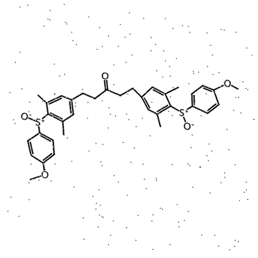 COc1ccc([S+]([O-])c2c(C)cc(CCC(=O)CCc3cc(C)c([S+]([O-])c4ccc(OC)cc4)c(C)c3)cc2C)cc1